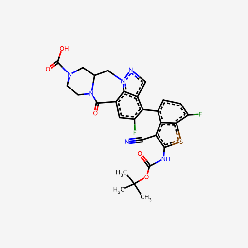 CC(C)(C)OC(=O)Nc1sc2c(F)ccc(-c3c(F)cc4c5c3cnn5CC3CN(C(=O)O)CCN3C4=O)c2c1C#N